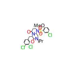 COc1ccc(Cl)cc1S(=O)(=O)N1CCC(=O)N2C(Cc3ccc(Cl)c(Cl)c3)C(=O)N(C(C)C)CC21